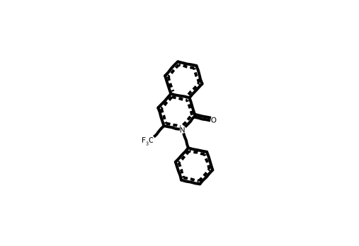 O=c1c2ccccc2cc(C(F)(F)F)n1-c1ccccc1